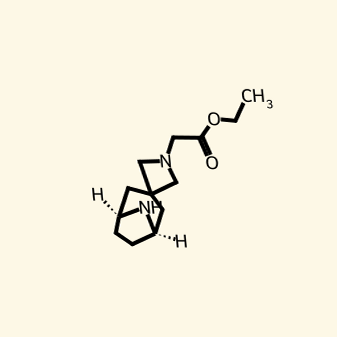 CCOC(=O)CN1CC2(C[C@H]3CC[C@@H](C2)N3)C1